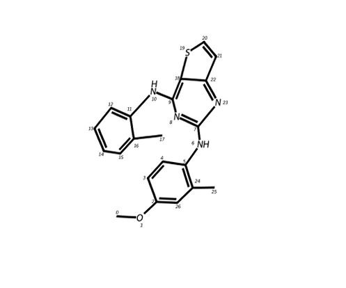 COc1ccc(Nc2nc(Nc3ccccc3C)c3sccc3n2)c(C)c1